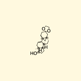 C[C@]12CC=C3[C@@H](CC[C@@]45CC6(CC[C@@]34C5)OCCO6)[C@@H]1CC[C@@H]2O